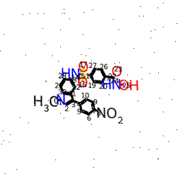 Cn1cc(-c2ccc([N+](=O)[O-])cc2)c2cc(NS(=O)(=O)c3ccc(C(=O)NO)cc3)ccc21